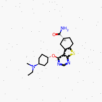 CCN(C)[C@H]1CC[C@H](Oc2ncnc3sc4c(c23)C[C@H](C(N)=O)CC4)CC1